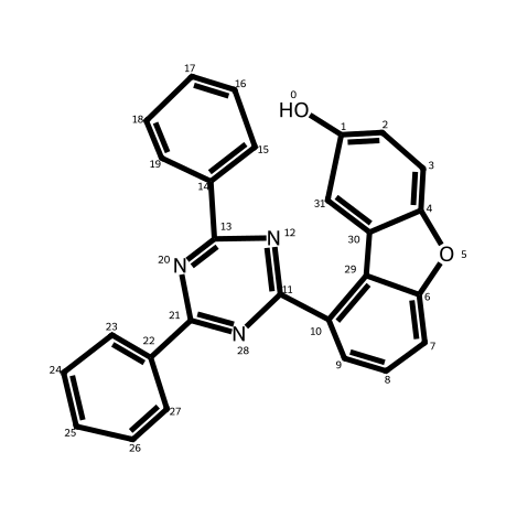 Oc1ccc2oc3cccc(-c4nc(-c5ccccc5)nc(-c5ccccc5)n4)c3c2c1